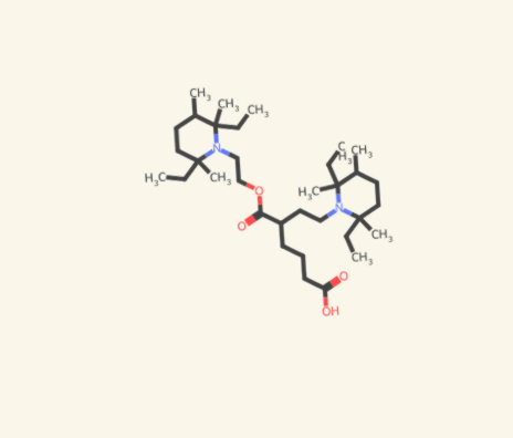 CCC1(C)CCC(C)C(C)(CC)N1CCOC(=O)C(CCCC(=O)O)CCN1C(C)(CC)CCC(C)C1(C)CC